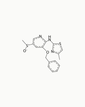 Cc1csc(Nc2ncc([S+](C)[O-])cc2OCc2ccccc2)n1